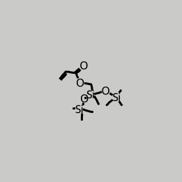 C=CC(=O)OC[Si](C)(O[Si](C)(C)C)O[Si](C)(C)C